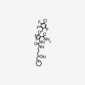 NC(=O)c1c(OCc2c(F)cc(Cl)c(F)c2F)nsc1NC(=O)NCCCC(O)CN1CCCCC1